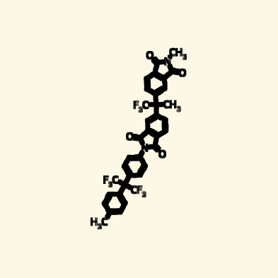 Cc1ccc(C(c2ccc(N3C(=O)c4ccc(C(C)(c5ccc6c(c5)C(=O)N(C)C6=O)C(F)(F)F)cc4C3=O)cc2)(C(F)(F)F)C(F)(F)F)cc1